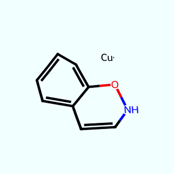 C1=Cc2ccccc2ON1.[Cu]